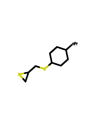 CCCC1CCC(SCC2CS2)CC1